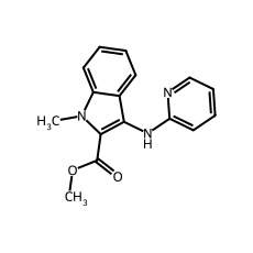 COC(=O)c1c(Nc2ccccn2)c2ccccc2n1C